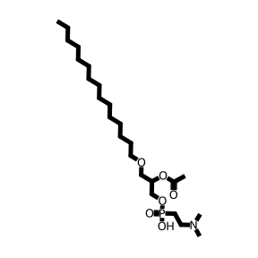 CCCCCCCCCCCCCCCOCC(COP(=O)(O)CCN(C)C)OC(C)=O